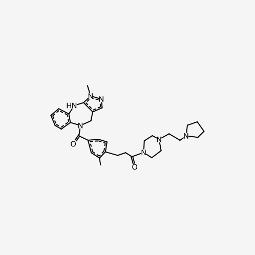 Cc1cc(C(=O)N2Cc3cnn(C)c3Nc3ccccc32)ccc1CCC(=O)N1CCN(CCN2CCCC2)CC1